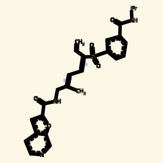 C=C/C(=C\C=C(/C)CNC(=O)c1cc2ccncc2o1)S(=O)(=O)c1cccc(C(=O)NC(C)C)c1